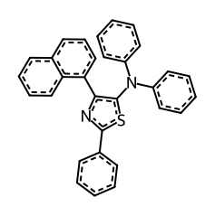 c1ccc(-c2nc(-c3cccc4ccccc34)c(N(c3ccccc3)c3ccccc3)s2)cc1